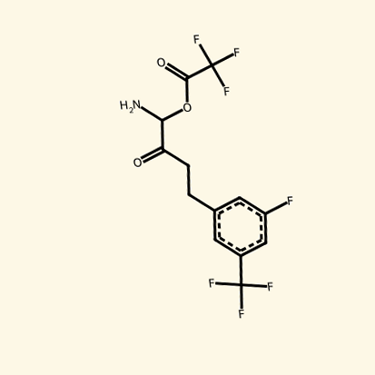 NC(OC(=O)C(F)(F)F)C(=O)CCc1cc(F)cc(C(F)(F)F)c1